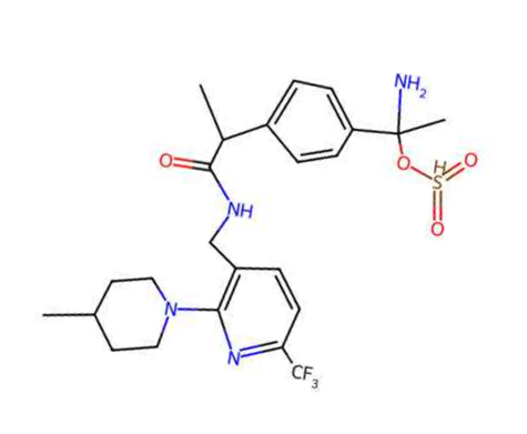 CC1CCN(c2nc(C(F)(F)F)ccc2CNC(=O)C(C)c2ccc(C(C)(N)O[SH](=O)=O)cc2)CC1